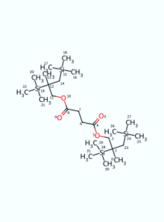 CC(COC(=O)CCC(=O)OCC(C)(C[Si](C)(C)C)[Si](C)(C)C)(C[Si](C)(C)C)[Si](C)(C)C